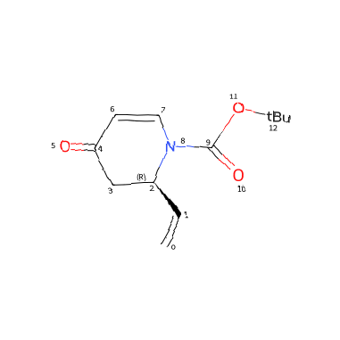 C=C[C@H]1CC(=O)C=CN1C(=O)OC(C)(C)C